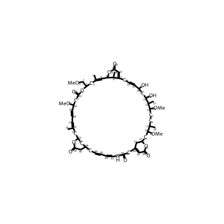 COCC1C/C(C)=C\C2OC(=O)C=C(C/C=C/C(O)CC(O)C(C)C(OC)CCC(C)C(OC)CC3CC(=CC(=O)O3)CC(=O)N/C=C\C=C\CC3CC(=O)OC(C/C(C)=C\C=C\C(OC)CC(=O)O1)C3)C2C